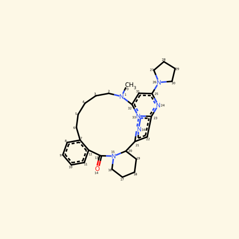 CN1CCCCCc2ccccc2C(=O)N2CCCCC2c2cc3nc(N4CCCC4)cc1n3n2